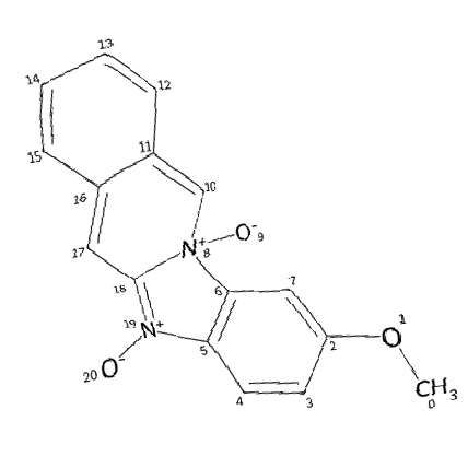 COc1ccc2c(c1)[N+]1([O-])C=c3ccccc3=CC1=[N+]2[O-]